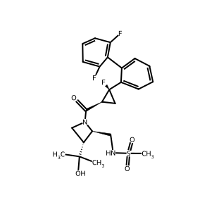 CC(C)(O)[C@@H]1CN(C(=O)[C@@H]2C[C@@]2(F)c2ccccc2-c2c(F)cccc2F)[C@H]1CNS(C)(=O)=O